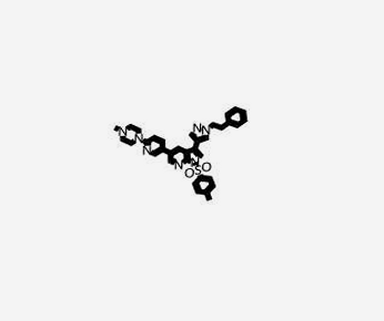 Cc1ccc(S(=O)(=O)n2cc(-c3cnn(CCc4ccccc4)c3)c3cc(-c4ccc(N5CCN(C)CC5)nc4)cnc32)cc1